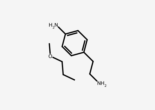 CCCOC.NCCc1ccc(N)cc1